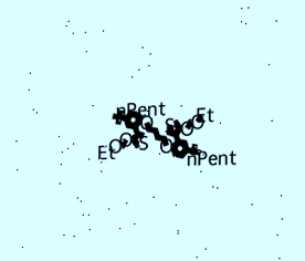 CCCCCC(C)(C)c1ccc(OCCCCOc2ccc(C(C)(C)CCCCC)cc2-c2cscc2OCOCC)c(-c2cscc2OCOCC)c1